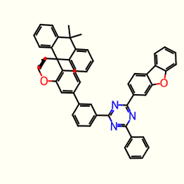 CC1(C)c2ccccc2C2(c3ccccc3Oc3cc(-c4cccc(-c5nc(-c6ccccc6)nc(-c6ccc7c(c6)oc6ccccc67)n5)c4)ccc32)c2ccccc21